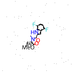 COC(=O)[C@H](CC(C)C)N(C)C(=O)c1cc2c(F)ccc(F)c2[nH]1